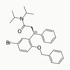 CC(C)N(C(=O)C[C@@H](c1ccccc1)c1cc(Br)ccc1OCc1ccccc1)C(C)C